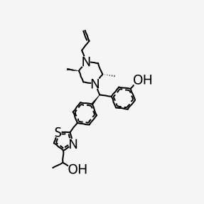 C=CCN1C[C@H](C)N([C@H](c2ccc(-c3nc(C(C)O)cs3)cc2)c2cccc(O)c2)C[C@H]1C